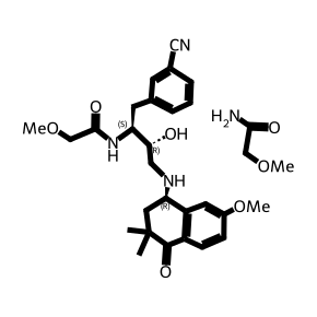 COCC(=O)N[C@@H](Cc1cccc(C#N)c1)[C@H](O)CN[C@@H]1CC(C)(C)C(=O)c2ccc(OC)cc21.COCC(N)=O